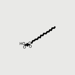 CCCCCCCCCCCCCCCCCCOC(=O)C(C)(C)C(=O)O